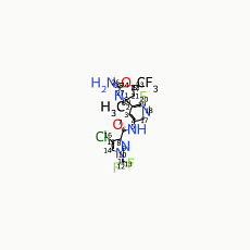 C[C@@]1(c2cc(NC(=O)c3nn(C(F)F)cc3Cl)cnc2F)C[C@@H](C(F)(F)F)OC(N)=N1